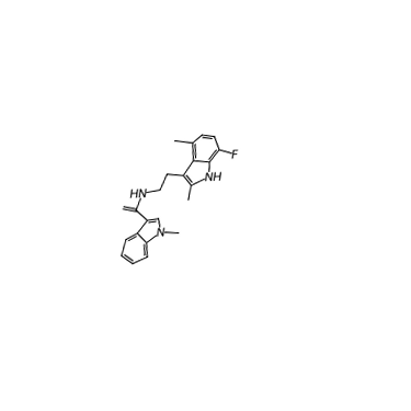 C=C(NCCc1c(C)[nH]c2c(F)ccc(C)c12)c1cn(C)c2ccccc12